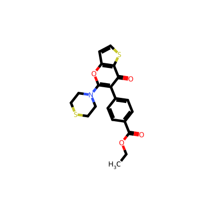 CCOC(=O)c1ccc(-c2c(N3CCSCC3)oc3ccsc3c2=O)cc1